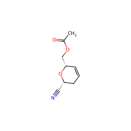 CC(=O)OC[C@@H]1C=CC[C@H](C#N)O1